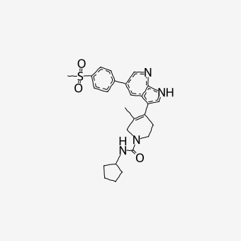 CC1=C(c2c[nH]c3ncc(-c4ccc(S(C)(=O)=O)cc4)cc23)CCN(C(=O)NC2CCCC2)C1